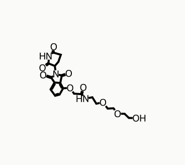 O=C(COc1cccc2c1C(=O)N(C1CCC(=O)NC1=O)C2=O)NCCOCCOCCO